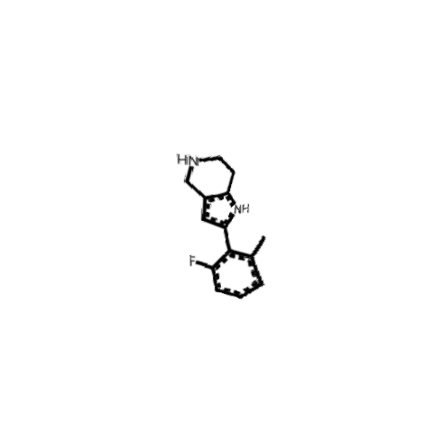 Cc1cccc(F)c1-c1cc2c([nH]1)CCNC2